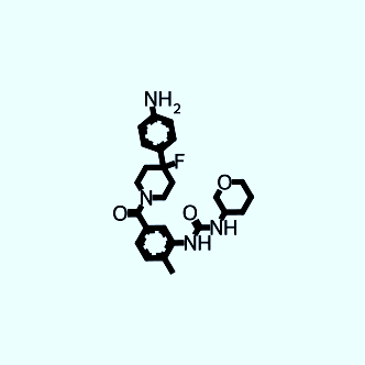 Cc1ccc(C(=O)N2CCC(F)(c3ccc(N)cc3)CC2)cc1NC(=O)NC1CCCOC1